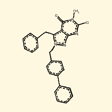 Cn1c(Cl)nc2nn(Cc3ccc(-c4ccccc4)cc3)c(Cc3ccccc3)c2c1=O